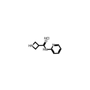 Cl.O=C(Nc1ccccn1)C1CNC1